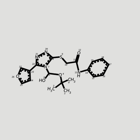 CC(C)(C)OC(O)n1c(SCC(=O)Nc2ccccc2)nnc1-c1ccoc1